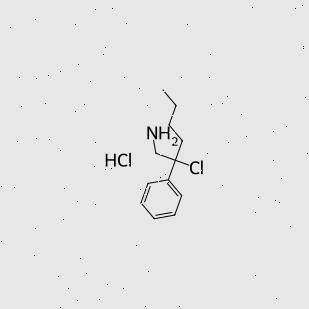 CCCCC(Cl)(CN)c1ccccc1.Cl